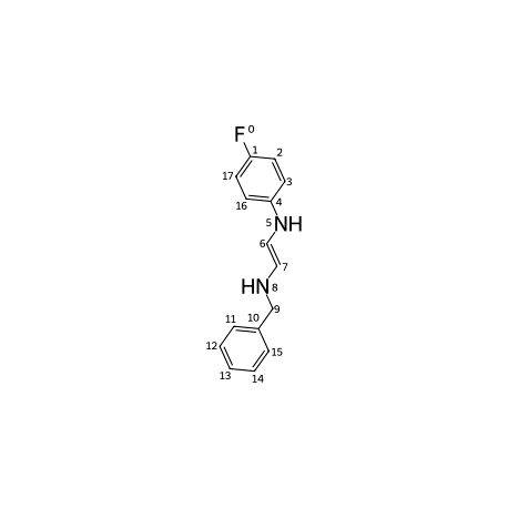 Fc1ccc(N/C=C/NCc2ccccc2)cc1